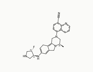 C[C@@H]1CN(c2ccc(C#N)c3ncccc23)CC2=C3CC=C(N[C@H]4CNC[C@@H]4F)C=C3CN21